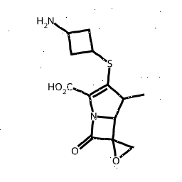 CC1C(SC2CC(N)C2)=C(C(=O)O)N2C(=O)C3(CO3)C12